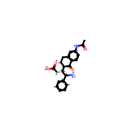 CC(=O)Nc1ccc2c(c1)CCC([C@@H](CC(=O)O)C(N)c1ccccc1)C2=O